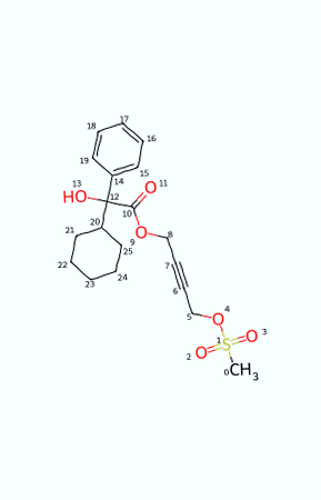 CS(=O)(=O)OCC#CCOC(=O)C(O)(c1ccccc1)C1CCCCC1